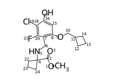 COC(=O)C1(NCc2c(OCC3CCC3)cc(O)c(Cl)c2F)CCC1